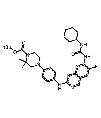 CC(C)(C)OC(=O)N1CCN(c2ccc(Nc3ncc4cc(F)c(NC(=O)NC5CCCCC5)nc4n3)cc2)CC1(C)C